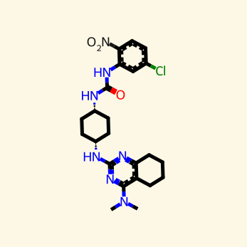 CN(C)c1nc(N[C@H]2CC[C@@H](NC(=O)Nc3cc(Cl)ccc3[N+](=O)[O-])CC2)nc2c1CCCC2